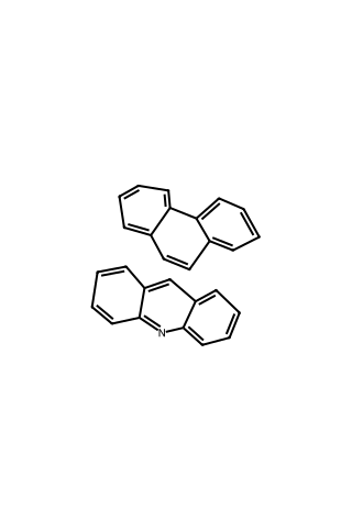 c1ccc2c(c1)ccc1ccccc12.c1ccc2nc3ccccc3cc2c1